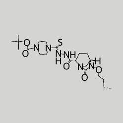 CCCCON1C(=O)N2C[C@@H]1CC[C@H]2C(=O)NNC(=S)N1CCN(C(=O)OC(C)(C)C)CC1